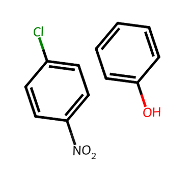 O=[N+]([O-])c1ccc(Cl)cc1.Oc1ccccc1